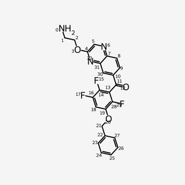 NCCOc1cnc2ccc(C(=O)c3c(F)c(F)cc(OCc4ccccc4)c3F)cc2n1